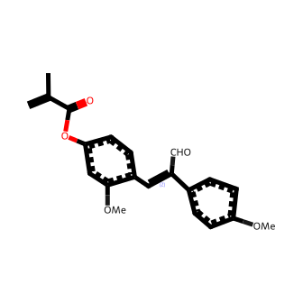 C=C(C)C(=O)Oc1ccc(/C=C(\C=O)c2ccc(OC)cc2)c(OC)c1